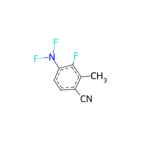 Cc1c(C#N)ccc(N(F)F)c1F